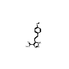 CSc1ccc(C=Cc2[nH]nnc2C(=O)O)cc1